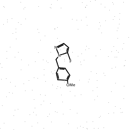 COc1ccc(Cn2nccc2F)cc1